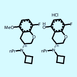 CCCN(C1CCC1)[C@H]1COc2c(F)ccc(O)c2C1.CCCN(C1CCC1)[C@H]1COc2c(F)ccc(OC)c2C1.Cl